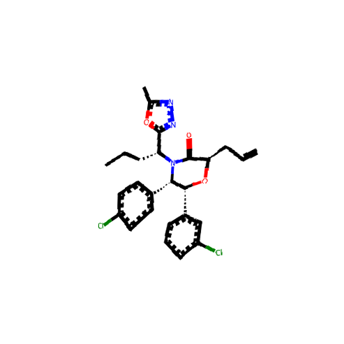 C=CC[C@H]1O[C@H](c2cccc(Cl)c2)[C@H](c2ccc(Cl)cc2)N([C@H](CCC)c2nnc(C)o2)C1=O